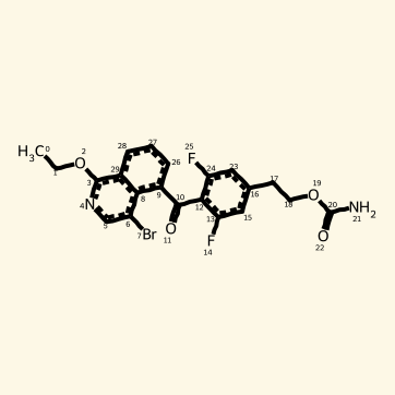 CCOc1ncc(Br)c2c(C(=O)c3c(F)cc(CCOC(N)=O)cc3F)cccc12